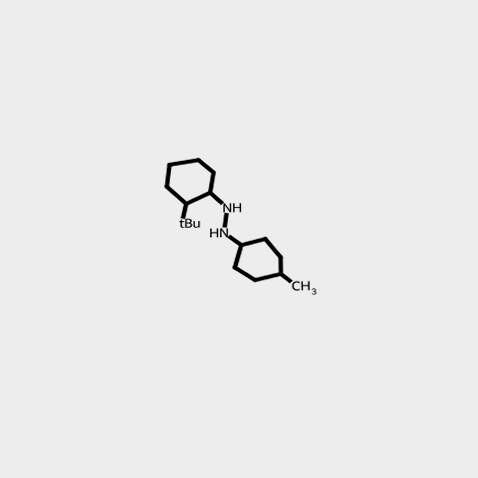 CC1CCC(NNC2CCCCC2C(C)(C)C)CC1